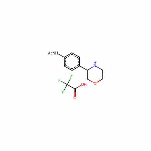 CC(=O)Nc1ccc(C2COCCN2)cc1.O=C(O)C(F)(F)F